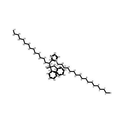 CCCCCCCCCCCCCCCCCCn1ccnc1C(CCCCCCCCCCCCCC)C(C)(Cc1ccccc1)c1ccccc1